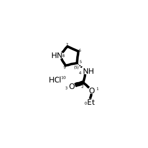 CCOC(=O)N[C@H]1CCNC1.Cl